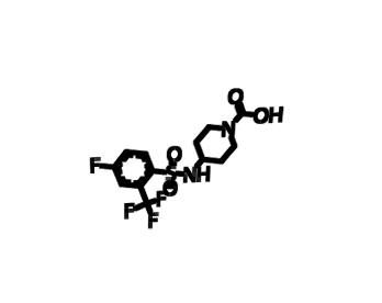 O=C(O)N1CCC(NS(=O)(=O)c2ccc(F)cc2C(F)(F)F)CC1